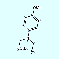 CCOC(=O)CN(CC(C)=O)c1ccc(OC)cc1